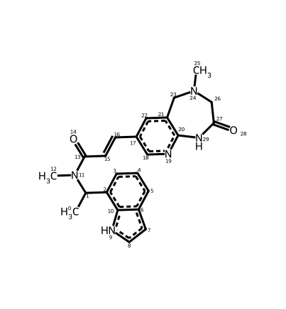 CC(c1cccc2cc[nH]c12)N(C)C(=O)/C=C/c1cnc2c(c1)CN(C)CC(=O)N2